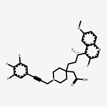 COc1ccc2ncc(F)c([C@@H](F)CCC3(CC(=O)O)CCN(CC#Cc4cc(F)c(F)c(F)c4)CC3)c2c1